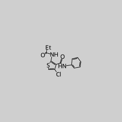 CCC(=O)Nc1scc(Cl)c1C(=O)Nc1ccccc1